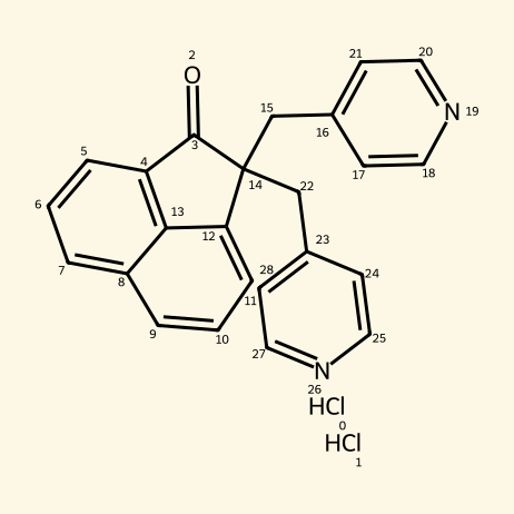 Cl.Cl.O=C1c2cccc3cccc(c23)C1(Cc1ccncc1)Cc1ccncc1